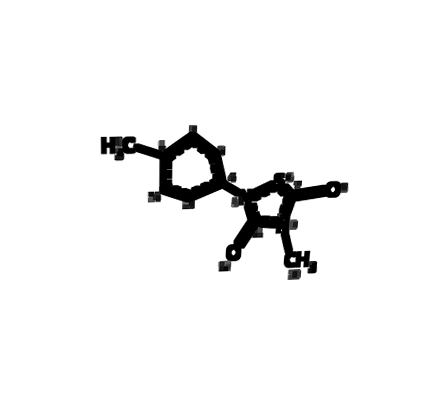 Cc1ccc(-n2sc(=O)n(C)c2=O)cc1